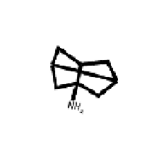 NC12CC3CC1CC3C2